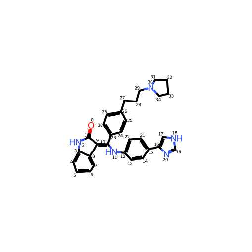 O=C1Nc2ccccc2C1=C(Nc1ccc(-c2c[nH]cn2)cc1)c1ccc(CCCN2CCCC2)cc1